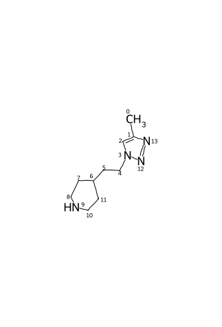 Cc1cn(CCC2CCNCC2)nn1